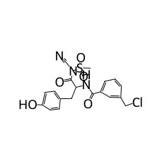 CS(=O)(=O)N(C#N)C(=O)C(Cc1ccc(O)cc1)NC(=O)c1cccc(CCl)c1